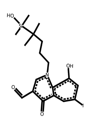 CC(C)(CCCn1cc(C=O)c(=O)c2cc(I)cc(O)c21)[Si](C)(C)O